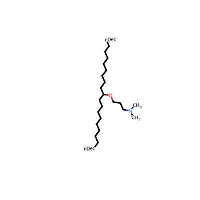 CCCCCCCCCCCCCCCCCCC(CCCCCCCCCCCCCCCCCC)OCCCN(C)C